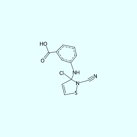 N#CN1SC=CC1(Cl)Nc1cccc(C(=O)O)c1